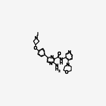 Nc1ncc(-c2ccc(OC3CN(I)C3)cc2)nc1C(=O)Nc1cnccc1N1CCOCC1